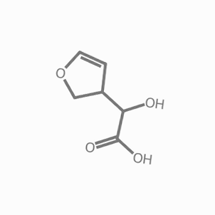 O=C(O)C(O)C1C=COC1